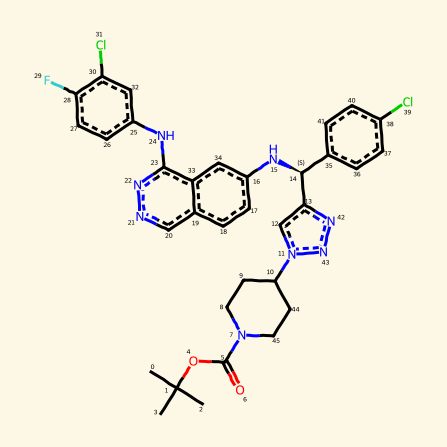 CC(C)(C)OC(=O)N1CCC(n2cc([C@@H](Nc3ccc4cnnc(Nc5ccc(F)c(Cl)c5)c4c3)c3ccc(Cl)cc3)nn2)CC1